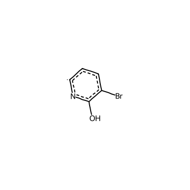 Oc1n[c]ccc1Br